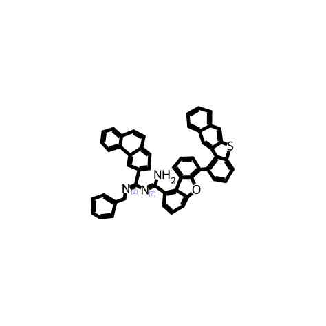 N/C(=N\C(=N/Cc1ccccc1)c1ccc2ccc3ccccc3c2c1)c1cccc2oc3c(-c4cccc5sc6cc7ccccc7cc6c45)cccc3c12